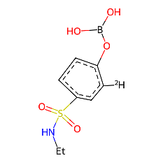 [2H]c1cc(S(=O)(=O)NCC)ccc1OB(O)O